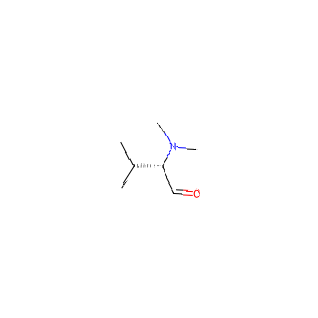 CC(C)[C@@H](C=O)N(C)C